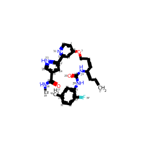 C=C/C=C(\C=C/COc1ccnc(-c2cc(C(=O)NCC)c[nH]2)c1)NC(=O)Nc1cc(C)ccc1F